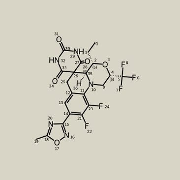 CC[C@@H]1O[C@H](C(F)(F)F)CN2c3c(cc(-c4noc(C)n4)c(F)c3F)CC3(C(=O)NC(=O)NC3=O)[C@@H]12